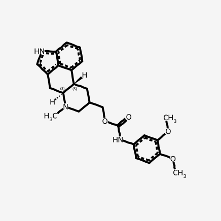 COc1ccc(NC(=O)OCC2C[C@H]3c4cccc5[nH]cc(c45)C[C@@H]3N(C)C2)cc1OC